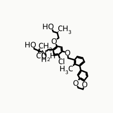 Cc1c(COc2cc(OC[C@@H](C)CO)c(CNC(C)(CO)C(=O)O)cc2Cl)cccc1-c1ccc2c(c1)OCCO2